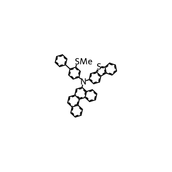 CSc1cc(N(c2ccc3c(c2)sc2ccccc23)c2cc3ccc4ccccc4c3c3ccccc23)ccc1-c1ccccc1